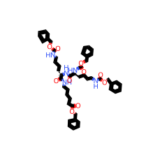 O=C(CCCCCNC(=O)[C@H](CCCCNC(=O)OCc1ccccc1)NC(=O)[C@H](CCCCNC(=O)OCc1ccccc1)NC(=O)OCc1ccccc1)OCc1ccccc1